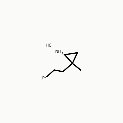 CC(C)CCC1(C)CC1.Cl.N